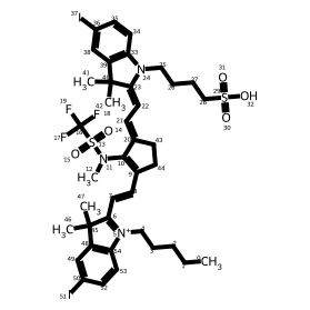 CCCCC[N+]1=C(/C=C/C2=C(N(C)S(=O)(=O)C(F)(F)F)C(=C/C=C3/N(CCCCS(=O)(=O)O)c4ccc(I)cc4C3(C)C)/CC2)C(C)(C)c2cc(I)ccc21